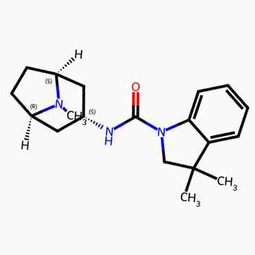 CN1[C@@H]2CC[C@H]1C[C@H](NC(=O)N1CC(C)(C)c3ccccc31)C2